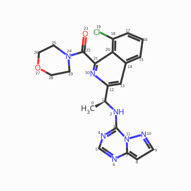 C[C@H](Nc1ncnc2ccnn12)c1cc2cccc(Cl)c2c(C(=O)N2CCOCC2)n1